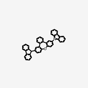 c1ccc2c(c1)-c1cc(C3c4ccccc4-c4ccccc43)ccc1Oc1ccc(-n3c4ccccc4c4ccccc43)cc1-2